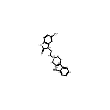 O=c1[nH]c2ccc(Cl)cc2n1CCN1CCc2c([nH]c3ccccc23)C1